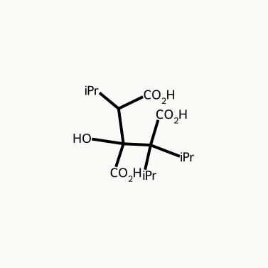 CC(C)C(C(=O)O)C(O)(C(=O)O)C(C(=O)O)(C(C)C)C(C)C